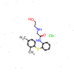 Cc1ccc(Sc2ccccc2NC(=O)CNCCO)c(C)c1.Cl